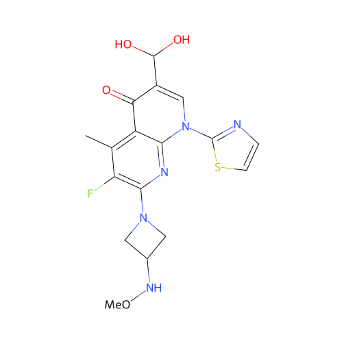 CONC1CN(c2nc3c(c(C)c2F)c(=O)c(C(O)O)cn3-c2nccs2)C1